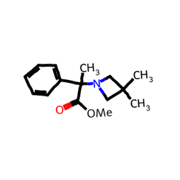 COC(=O)C(C)(c1ccccc1)N1CC(C)(C)C1